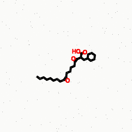 CCCCCCCCC1OC1CCCCC1OC1C(CC1CCCCC1)C(=O)O